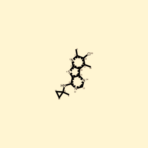 Cc1nc2sc3c(NC4(C)CC4)ncnc3c2c(C)c1Cl